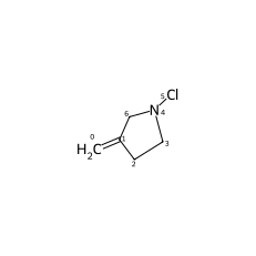 C=C1CCN(Cl)C1